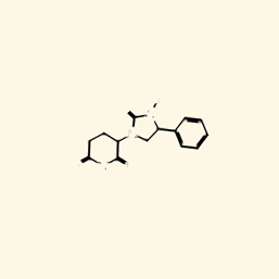 CC(C)N1C(=O)N(C2CCC(=O)NC2=O)CC1c1ccccc1